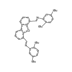 CC(C)(C)c1ccc(C(C)(C)C)c(/N=C/c2cccc3c2oc2c(/C=N/c4cc(C(C)(C)C)ccc4C(C)(C)C)cccc23)c1